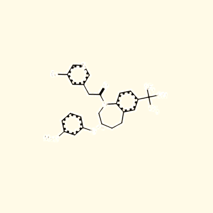 COc1cccc(O[C@H]2CCc3cc(C(O)(C(F)(F)F)C(F)(F)F)ccc3N(C(=O)Cc3cncc(Br)c3)C2)c1